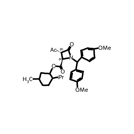 COc1ccc(C(c2ccc(OC)cc2)N2C(=O)[C@@H](C(C)=O)[C@@H]2C(=O)OC2CC(C)CCC2C(C)C)cc1